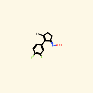 CCC1=C(c2ccc(F)c(F)c2)C(=NO)CC1